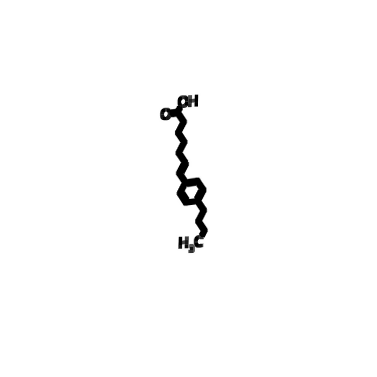 CCCCc1ccc(/C=C/CCCCC(=O)O)cc1